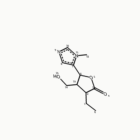 CCC1C(=O)OC(c2cncn2C)C1CO